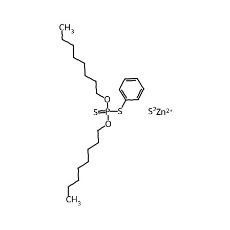 CCCCCCCCOP(=S)(OCCCCCCCC)Sc1ccccc1.[S-2].[Zn+2]